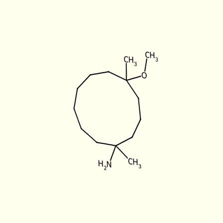 COC1(C)CCCCCCC(C)(N)CCC1